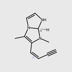 C#C/C=C\C1=C(C)N2C=CN[C@H]2N1C